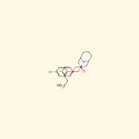 O=C(O)Cc1cc(Cl)ccc1OCC(=O)N1C2CCCC1CN(Cc1ccc(F)cc1)C2